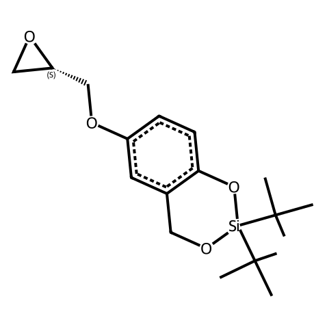 CC(C)(C)[Si]1(C(C)(C)C)OCc2cc(OC[C@@H]3CO3)ccc2O1